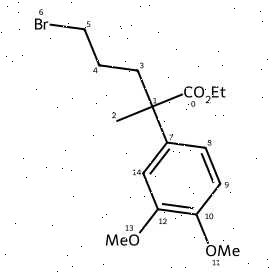 CCOC(=O)C(C)(CCCBr)c1ccc(OC)c(OC)c1